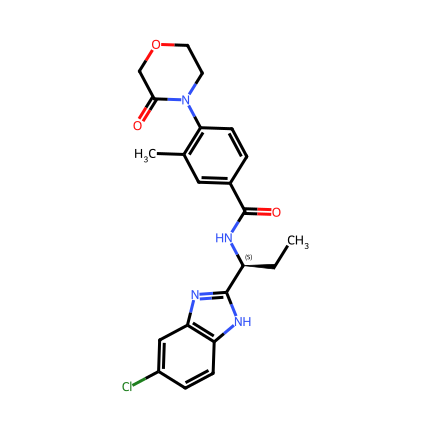 CC[C@H](NC(=O)c1ccc(N2CCOCC2=O)c(C)c1)c1nc2cc(Cl)ccc2[nH]1